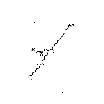 CCCCCC=CCC=CCCCCCCCC(=O)C(CCCCCCCC=CCC=CCCCCC)OC(=O)CC[As](C)C